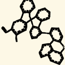 C=Cc1cc2c(cc1C)C1(c3ccccc3-2)c2ccccc2-c2c(-c3cccc4c3-c3cccc5cccc(c35)O4)cccc21